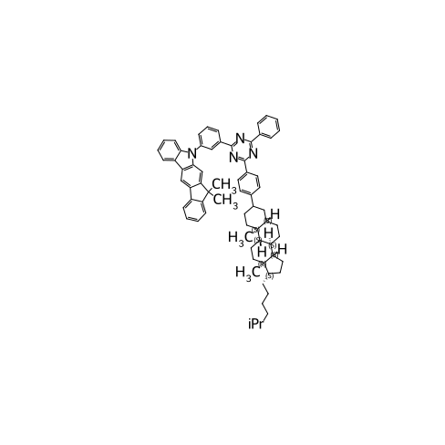 CC(C)CCCC[C@H]1CC[C@H]2[C@@H]3CC[C@H]4CC(c5ccc(-c6nc(-c7ccccc7)nc(-c7cccc(-n8c9ccccc9c9cc%10c(cc98)C(C)(C)c8ccccc8-%10)c7)n6)cc5)CC[C@]4(C)[C@H]3CC[C@]12C